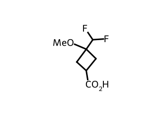 COC1(C(F)F)CC(C(=O)O)C1